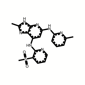 Cc1cccc(Nc2cc(Nc3ncccc3S(C)(=O)=O)c3nc(C)[nH]c3n2)n1